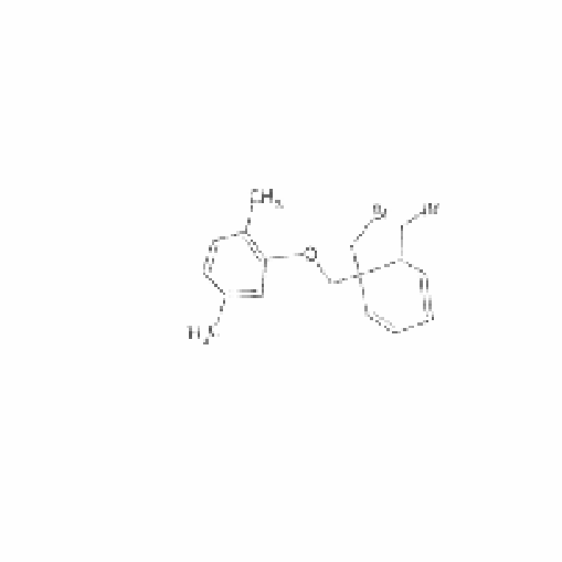 Cc1ccc(C)c(OCC2(CBr)C=CC=CC2CBr)c1